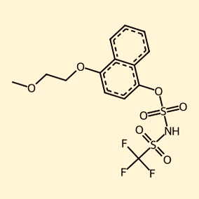 COCCOc1ccc(OS(=O)(=O)NS(=O)(=O)C(F)(F)F)c2ccccc12